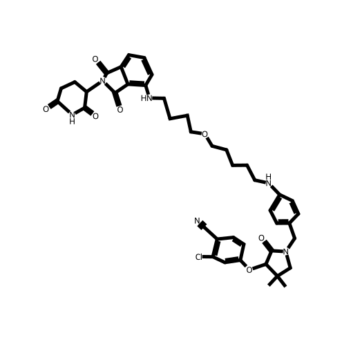 CC1(C)CN(Cc2ccc(NCCCCCOCCCCNc3cccc4c3C(=O)N(C3CCC(=O)NC3=O)C4=O)cc2)C(=O)C1Oc1ccc(C#N)c(Cl)c1